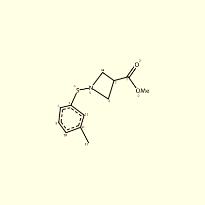 COC(=O)C1CN(Sc2cccc(C)c2)C1